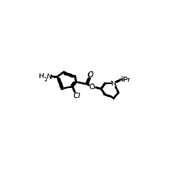 CC(C)N1CCCC(OC(=O)c2ccc(N)cc2Cl)C1